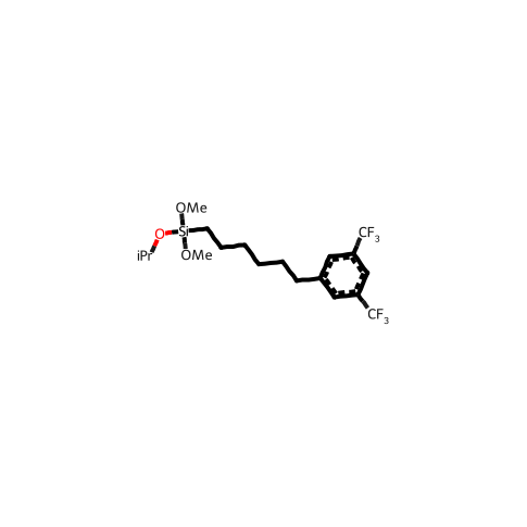 CO[Si](CCCCCCc1cc(C(F)(F)F)cc(C(F)(F)F)c1)(OC)OC(C)C